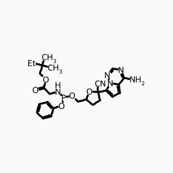 CCC(C)(C)COC(=O)CNP(OCC1CCC(C#N)(c2ccc3c(N)ncnn23)O1)Oc1ccccc1